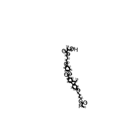 C=C(F)C(=O)OCCCCOc1ccc2c(c1)C(C)c1cc(C(=O)Oc3ccc(OCCCCOC(=O)C(=C)CO)cc3)ccc1-2